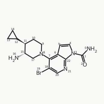 NC(=O)n1c[c]c2c(N3CC[C@H](C4CC4)[C@@H](N)C3)c(Br)cnc21